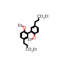 CCOC(=O)CCc1ccc(OCC)c(-c2cc(CCC(=O)OCC)ccc2OCC)c1